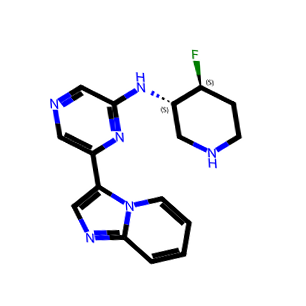 F[C@H]1CCNC[C@@H]1Nc1cncc(-c2cnc3ccccn23)n1